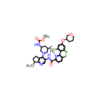 CC(=O)OC1CCc2c1ncc(NC(=O)c1ccc(F)c(-c3c(F)cc(OC4CCCOC4)cc3F)n1)c2N1CC(C)CC(NC(=O)OC(C)(C)C)C1